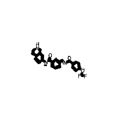 CN(C(=O)c1cccc(CNC(=O)c2ccc(OC(F)F)cc2)c1)c1ccc2c(c1)CNCC2